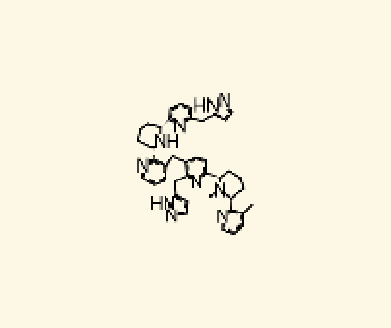 Cc1cccnc1[C@@H]1CCC[C@H](c2ccc(Cc3cccnc3[C@@H]3CCC[C@H](c4cccc(Cc5ccn[nH]5)n4)N3)c(Cc3ccn[nH]3)n2)N1C